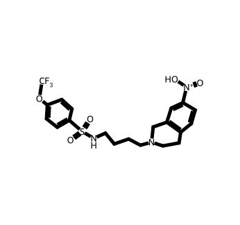 O=[N+](O)c1ccc2c(c1)CN(CCCCNS(=O)(=O)c1ccc(OC(F)(F)F)cc1)CC2